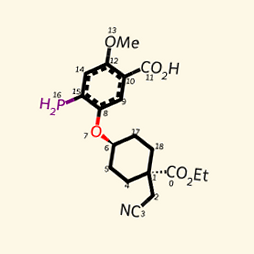 CCOC(=O)[C@]1(CC#N)CC[C@@H](Oc2cc(C(=O)O)c(OC)cc2P)CC1